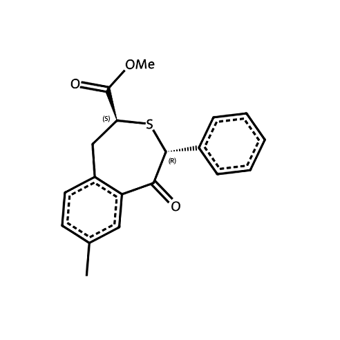 COC(=O)[C@@H]1Cc2ccc(C)cc2C(=O)[C@@H](c2ccccc2)S1